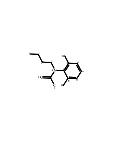 CCCCN(C(=O)Cl)c1c(C)cccc1C